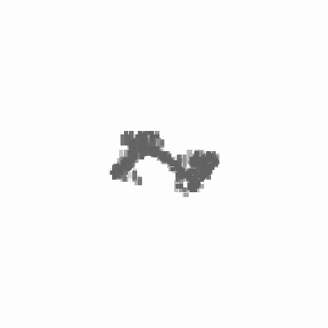 CC[C@@H]1c2nncn2-c2cnc(Nc3ccc(C(=O)NCCOCCOCCOCC(=O)NC(C(=O)N4CCC[C@H]4C(=O)NCc4ccc(-c5scnc5C)cc4)C(C)(C)C)cc3OC)nc2N1C1CCCC1